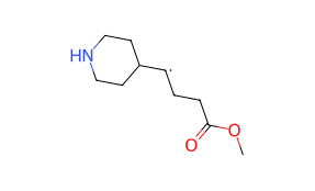 COC(=O)CC[CH]C1CCNCC1